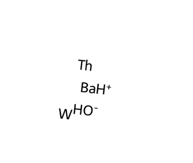 [BaH+].[OH-].[Th].[W]